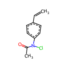 C=Cc1ccc(N(Cl)C(C)=O)cc1